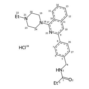 CCC(=O)NCc1ccc(-c2cc3ccccc3c(N3CCN(CC)CC3)n2)cc1.Cl